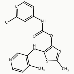 Cc1nc(OC(=O)Nc2ccnc(Cl)c2)c(Nc2cnccc2C)s1